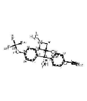 CN1CC(C)([C@@](O)(c2ccc(C#N)cc2)c2ccc(OC(F)(F)F)cc2)C1